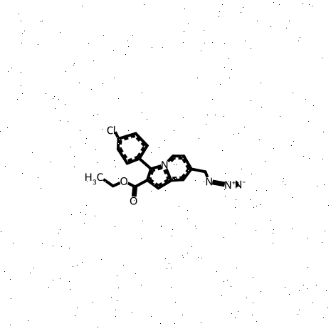 CCOC(=O)c1cc2cc(CN=[N+]=[N-])ccn2c1-c1ccc(Cl)cc1